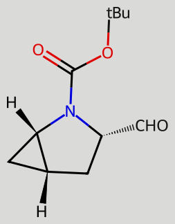 CC(C)(C)OC(=O)N1[C@H](C=O)C[C@@H]2C[C@@H]21